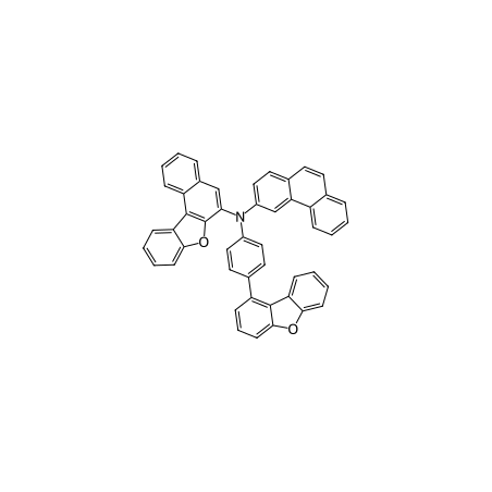 c1ccc2c(c1)ccc1ccc(N(c3ccc(-c4cccc5oc6ccccc6c45)cc3)c3cc4ccccc4c4c3oc3ccccc34)cc12